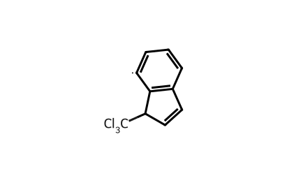 ClC(Cl)(Cl)C1C=Cc2ccc[c]c21